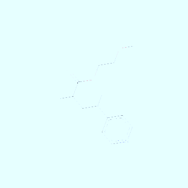 CCOCCOC(=O)C(C)CC(CC)c1ccncc1